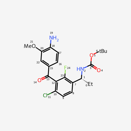 CC[C@@H](NC(=O)OC(C)(C)C)c1ccc(Cl)c(C(=O)c2ccc(N)c(OC)c2)c1F